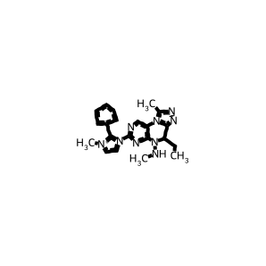 CCC1c2nnc(C)n2-c2cnc(-n3cc[n+](C)c3-c3ccccc3)nc2N1NC